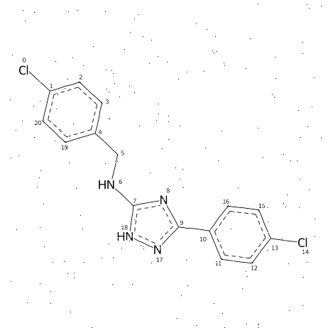 Clc1ccc(CNc2nc(-c3ccc(Cl)cc3)n[nH]2)cc1